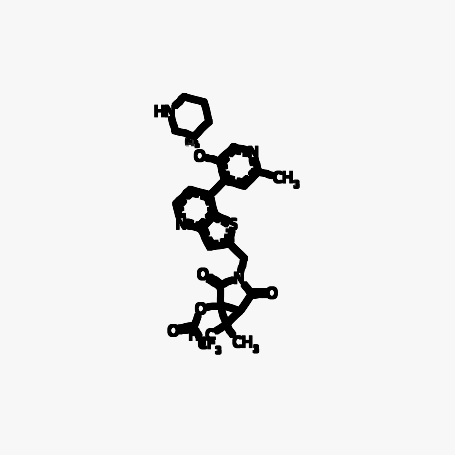 Cc1cc(-c2ccnc3cc(CN4C(=O)C5C(C)(C)C5(OC(=O)C(F)(F)F)C4=O)sc23)c(O[C@H]2CCCNC2)cn1